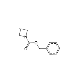 O=C(OCc1ccccc1)N1C[CH]C1